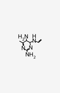 C=CNC1N=C(N)N=C(C)C1N